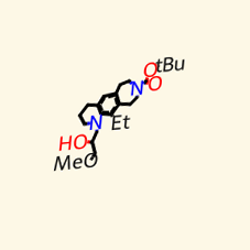 CCc1c2c(cc3c1N(CC(O)COC)CCC3)CCN(C(=O)OC(C)(C)C)CC2